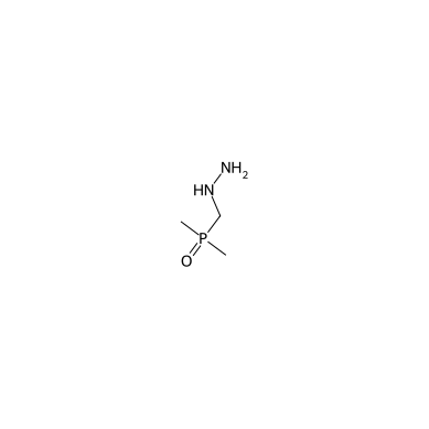 CP(C)(=O)CNN